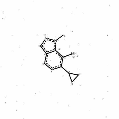 Cn1ncc2ccc(C3CC3)c(N)c21